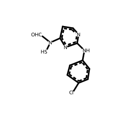 O=CN(S)c1ccnc(Nc2ccc(Cl)cc2)n1